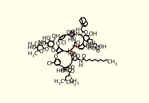 CCCCCCCCCC(=O)NC(=O)C[C@@H]1CC(=O)[C@H](NC(=O)[C@H](CC)CC(C)C)[C@H](O)c2ccc(c(Cl)c2)Oc2cc3cc(c2O[C@@H]2C[C@H](CO)[C@@H](O)[C@H](O)[C@H]2O[C@H]2C[C@](C)(N)[C@H](O)[C@H](C)O2)Oc2ccc(cc2Cl)[C@@H](O)[C@@H]2NC(=O)[C@H](CC(=O)[C@@H]3NC1=O)c1ccc(O)c(c1)-c1c(cc(O)c(CNCP(=O)(O)O)c1O)[C@@H](C(=O)CC1C3CC4CC(C3)CC1C4)NC2=O